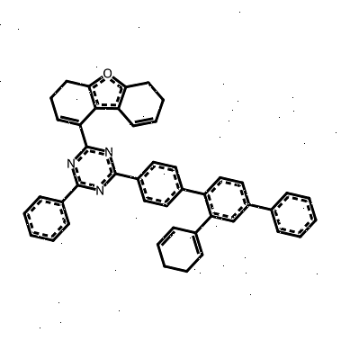 C1=CC(c2cc(-c3ccccc3)ccc2-c2ccc(-c3nc(C4=CCCc5oc6c(c54)C=CCC6)nc(-c4ccccc4)n3)cc2)=CCC1